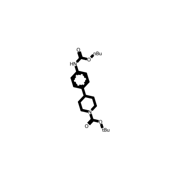 CCCCOC(=O)Nc1ccc(C2CCN(C(=O)OC(C)(C)C)CC2)cc1